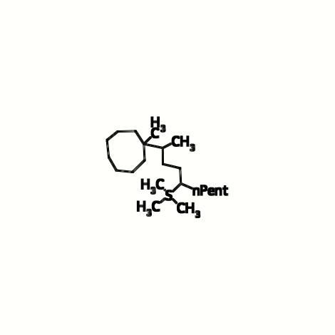 CCCCCC(CCC(C)C1(C)CCCCCCC1)S(C)(C)C